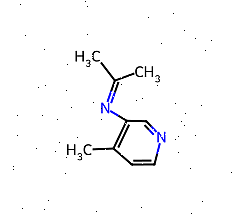 CC(C)=Nc1cnccc1C